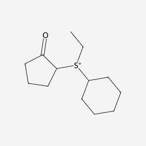 CC[S+](C1CCCCC1)C1CCCC1=O